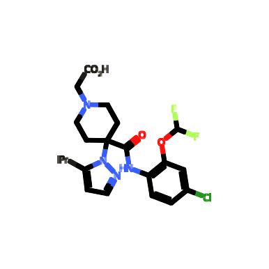 CC(C)c1ccnn1C1(C(=O)Nc2ccc(Cl)cc2OC(F)F)CCN(CC(=O)O)CC1